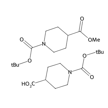 CC(C)(C)OC(=O)N1CCC(C(=O)O)CC1.COC(=O)C1CCN(C(=O)OC(C)(C)C)CC1